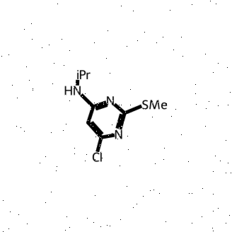 CSc1nc(Cl)cc(NC(C)C)n1